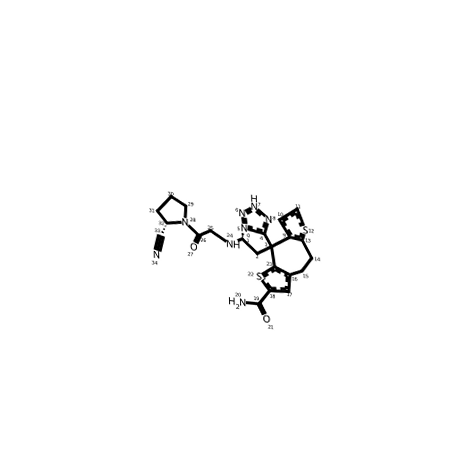 C[C@H](CC1(c2nn[nH]n2)c2ccsc2CCc2cc(C(N)=O)sc21)NCC(=O)N1CCC[C@H]1C#N